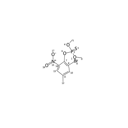 COP(=S)(OC)Oc1c(Br)cc(C)cc1[N+](=O)[O-]